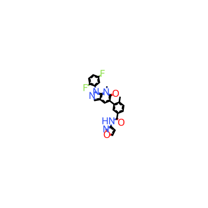 Cc1ccc(C(=O)Nc2ccon2)cc1-c1cc2cnn(-c3cc(F)ccc3F)c2n(C)c1=O